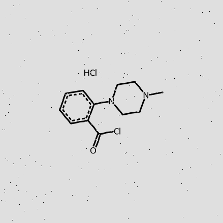 CN1CCN(c2ccccc2C(=O)Cl)CC1.Cl